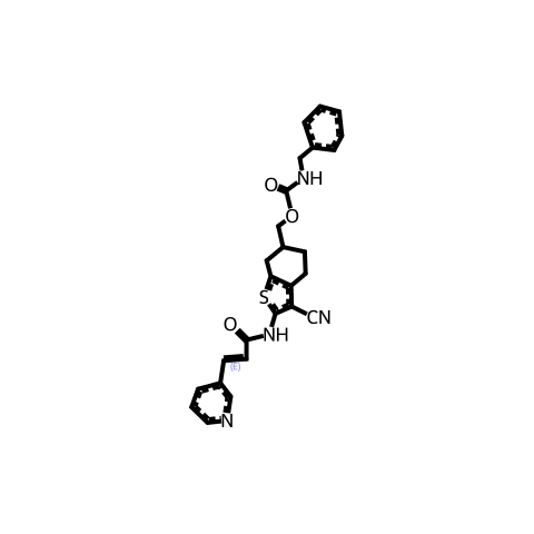 N#Cc1c(NC(=O)/C=C/c2cccnc2)sc2c1CCC(COC(=O)NCc1ccccc1)C2